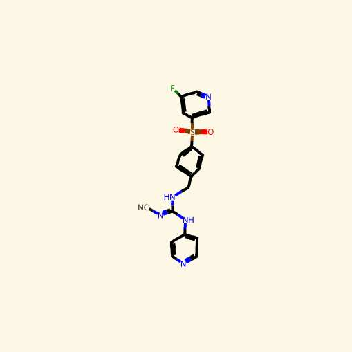 N#C/N=C(\NCc1ccc(S(=O)(=O)c2cncc(F)c2)cc1)Nc1ccncc1